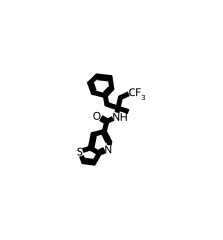 CC(Cc1ccccc1)(CC(F)(F)F)NC(=O)c1cnc2ccsc2c1